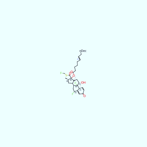 CCCCCCCCCCC/C=C/CCCCC(=O)O[C@]1(C(=O)SCF)[C@H](C)CC2C3C[C@H](F)C4=CC(=O)C=C[C@]4(C)[C@@]3(F)[C@@H](O)C[C@@]21C